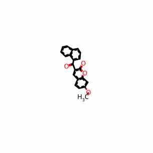 COc1ccc2cc(C(=O)c3cccc4ccccc34)c(=O)oc2c1